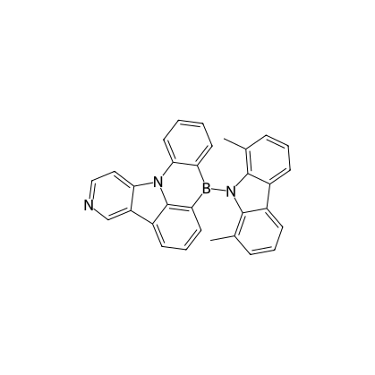 Cc1cccc2c3cccc(C)c3n(B3c4ccccc4-n4c5ccncc5c5cccc3c54)c12